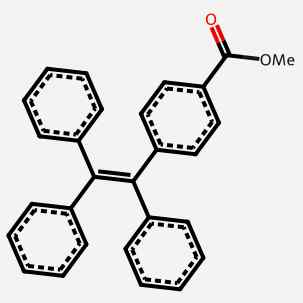 COC(=O)c1ccc(C(=C(c2ccccc2)c2ccccc2)c2ccccc2)cc1